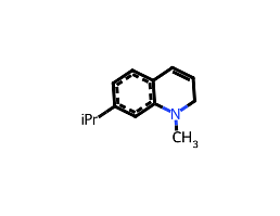 CC(C)c1ccc2c(c1)N(C)CC=C2